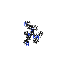 c1ccc(-c2cc(-c3cc(-n4c5ccccc5c5cc(-c6cccnc6)ccc54)cc(-n4c5ccccc5c5cc(-c6cccnc6)ccc54)c3)nc(-c3ccccc3)n2)cc1